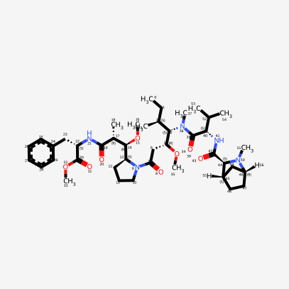 CC[C@H](C)[C@@H]([C@@H](CC(=O)N1CCC[C@H]1[C@H](OC)[C@@H](C)C(=O)N[C@@H](Cc1ccccc1)C(=O)OC)OC)N(C)C(=O)[C@@H](NC(=O)[C@@H]1[C@H]2CC[C@H](C2)N1C)C(C)C